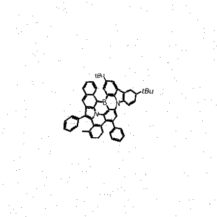 CC1=CCCc2c1c1c(-c3ccccc3)c3c4n1c1c5c(cc(-c6ccccc6)c21)-n1c2c(c6cc(C(C)(C)C)cc(c61)B5C4C1C=CC=CC1=C3)CC(C(C)(C)C)C=C2